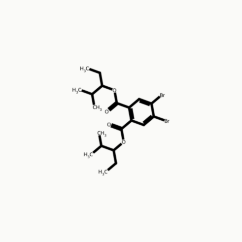 CCC(OC(=O)c1cc(Br)c(Br)cc1C(=O)OC(CC)C(C)C)C(C)C